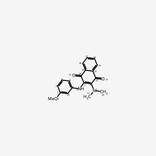 COc1cccc(NC2=C(N(C)C)C(=O)c3ccccc3C2=O)c1